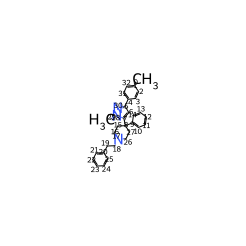 Cc1ccc(-c2cc(C3(c4ccccc4)CCN(CCc4ccccc4)CC3)n(C)n2)cc1